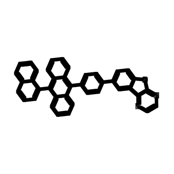 c1ccc2c(-c3c4ccccc4c(-c4ccc(-c5ccc6oc7nccnc7c6c5)cc4)c4ccccc34)cccc2c1